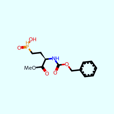 COC(=O)[C@@H](CC[PH](=O)O)NC(=O)OCc1ccccc1